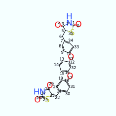 O=C1NC(=O)C(Cc2ccc(Oc3cccc(Oc4ccc(CC5SC(=O)NC5=O)cc4)c3)cc2)S1